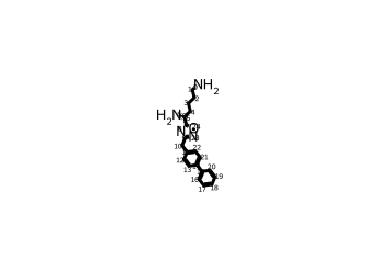 NCCCC[C@H](N)c1nc(Cc2ccc(-c3ccccc3)cc2)no1